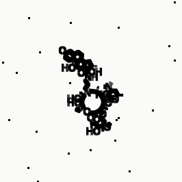 CC[C@H]1OC(=O)[C@H](C)C(O[C@@H]2C[C@](C)(OC)[C@H](O)C(C)O2)[C@H](C)C(O[C@@H]2O[C@H](C)C[C@@H](N(C)C)[C@H]2O)[C@](C)(O)C[C@@H](C)CN(CCCNC(=O)[C@@]2(O)[C@@H](C)CC3C4CCC5=CC(=O)C=C[C@]5(C)[C@@]4(Cl)[C@@H](O)C[C@@]32C)[C@H](C)[C@@H](O)[C@]1(C)O